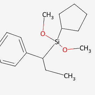 CCC(c1ccccc1)[Si](OC)(OC)C1CCCC1